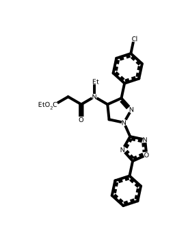 CCOC(=O)CC(=O)N(CC)C1CN(c2noc(-c3ccccc3)n2)N=C1c1ccc(Cl)cc1